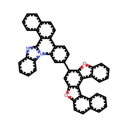 c1ccc2c(c1)ccc1oc3cc(-c4ccc5c6ccc7ccccc7c6c6nc7ccccc7n6c5c4)c4oc5ccccc5c4c3c12